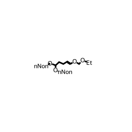 CCCCCCCCCOC(CCC=COCOCC)OCCCCCCCCC